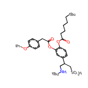 CC(C)Oc1ccc(CC(=O)Oc2cc(C(CNC(C)(C)C)CS(=O)(=O)O)ccc2OC(=O)CCCCCC(C)(C)C)cc1